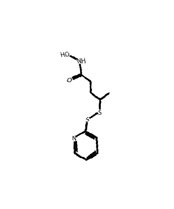 CC(CCC(=O)NO)SSc1ccccn1